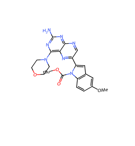 COc1ccc2c(c1)cc(-c1cnc3nc(N)nc(N4CCOCC4)c3n1)n2C(=O)OC(C)(C)C